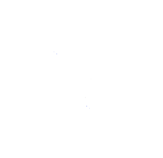 CN(C)C(=O)Oc1cc(OC(=O)N(C)C)cc(C2CO2)c1